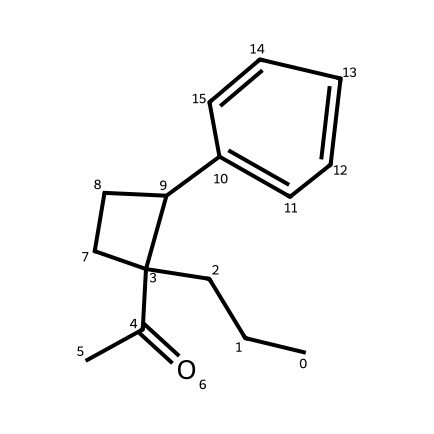 CCCC1(C(C)=O)CCC1c1ccccc1